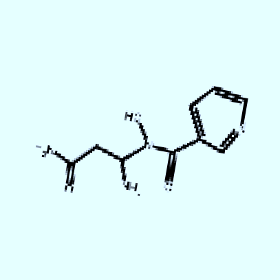 NC(=O)CC(N)N(O)C(=O)c1cccnc1